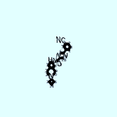 N#Cc1cccc(-c2cnc(C(=O)Nc3ccc4c(c3)CCN(C3CCC3)CC4)cn2)c1